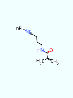 C=C(C)C(=O)NCCCC#[N+]CCC